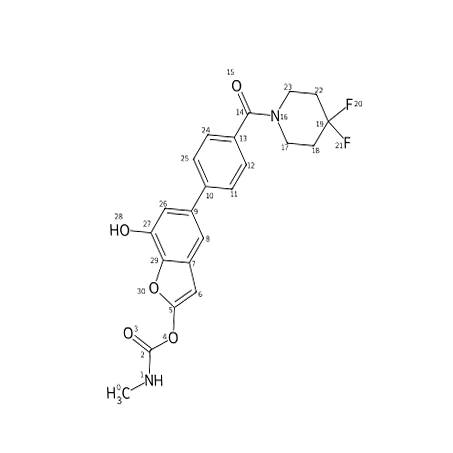 CNC(=O)Oc1cc2cc(-c3ccc(C(=O)N4CCC(F)(F)CC4)cc3)cc(O)c2o1